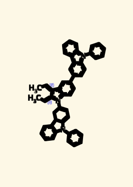 C/C=c1\c(=C/C)n(C2=CC=C3C(C2)c2ccccc2N3c2ccccc2)c2ccc(-c3ccc4c(c3)c3ccccc3n4-c3ccccc3)cc12